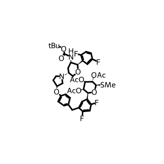 CS[C@H]1O[C@@H](c2cc(Cc3ccc(O[C@@H]4CCN([C@H]5CO[C@H](c6cc(F)ccc6F)[C@@H](NC(=O)OC(C)(C)C)C5)C4)cc3)c(F)cc2F)[C@H](OC(C)=O)[C@@H](OC(C)=O)[C@@H]1OC(C)=O